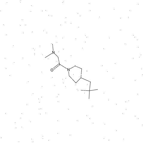 CN(C)CC(=O)N1CCC(CC(C)(C)C)CC1